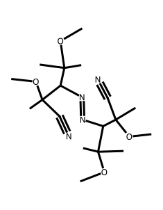 COC(C)(C)C(/N=N/C(C(C)(C)OC)C(C)(C#N)OC)C(C)(C#N)OC